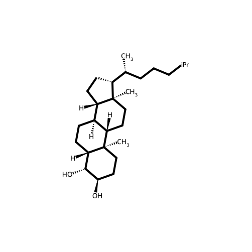 CC(C)CCC[C@@H](C)[C@H]1CC[C@H]2[C@@H]3CC[C@H]4[C@@H](O)[C@H](O)CC[C@]4(C)[C@H]3CC[C@]12C